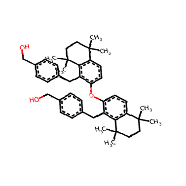 CC1(C)CCC(C)(C)c2c1ccc(Oc1ccc3c(c1Cc1ccc(CO)cc1)C(C)(C)CCC3(C)C)c2Cc1ccc(CO)cc1